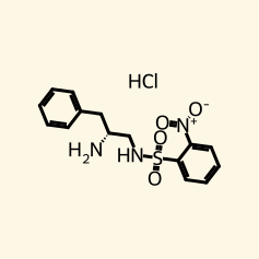 Cl.N[C@@H](CNS(=O)(=O)c1ccccc1[N+](=O)[O-])Cc1ccccc1